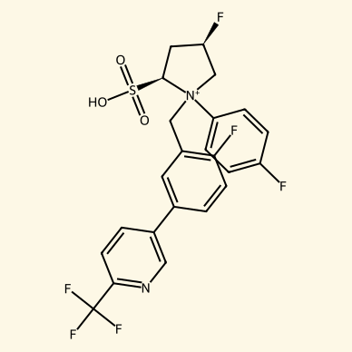 O=S(=O)(O)[C@H]1C[C@@H](F)C[N+]1(Cc1cc(-c2ccc(C(F)(F)F)nc2)ccc1F)c1ccc(F)cc1